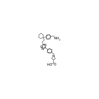 NCc1ccc(C2(CCc3nc(-c4ccc(CN5CC(C(=O)O)C5)cc4)no3)CCCCC2)cc1